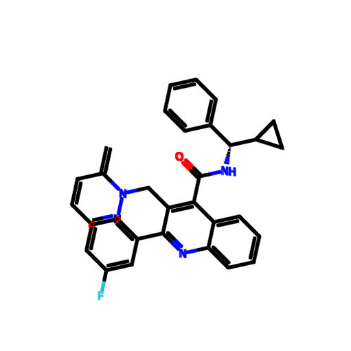 C=C1C=CC=NN1Cc1c(-c2cccc(F)c2)nc2ccccc2c1C(=O)N[C@H](c1ccccc1)C1CC1